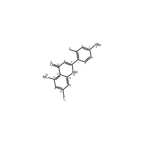 Cc1cc(C(C)(C)C)ccc1-c1cc(=O)c2c(C#N)cc(F)cc2[nH]1